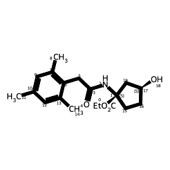 CCOC(=O)[C@]1(NC(=O)Cc2c(C)cc(C)cc2C)CC[C@H](O)C1